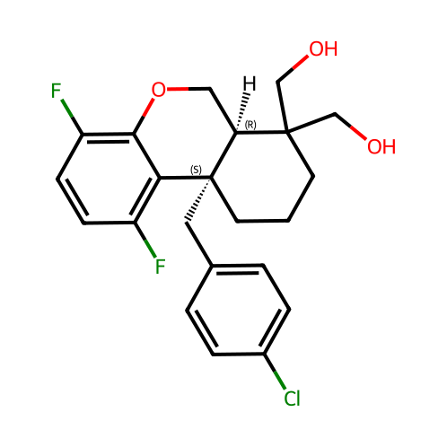 OCC1(CO)CCC[C@@]2(Cc3ccc(Cl)cc3)c3c(F)ccc(F)c3OC[C@@H]12